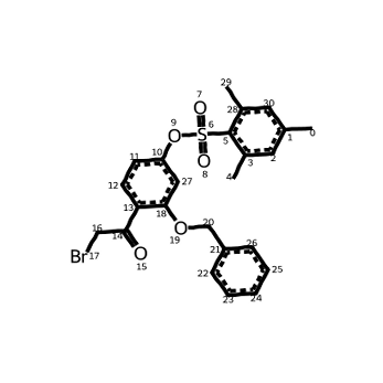 Cc1cc(C)c(S(=O)(=O)Oc2ccc(C(=O)CBr)c(OCc3ccccc3)c2)c(C)c1